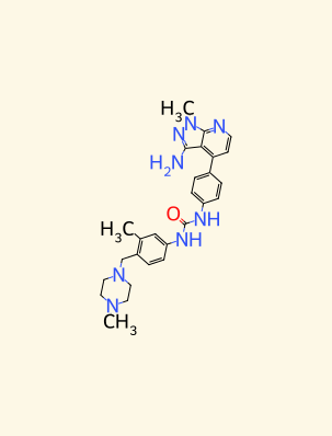 Cc1cc(NC(=O)Nc2ccc(-c3ccnc4c3c(N)nn4C)cc2)ccc1CN1CCN(C)CC1